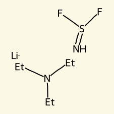 CCN(CC)CC.N=S(F)F.[Li]